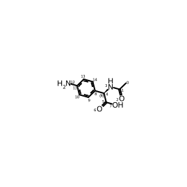 CC(=O)N[C@@H](C(=O)O)c1ccc(N)cc1